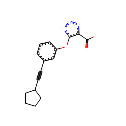 O=C(O)c1nn[nH]c1Oc1cccc(C#CC2CCCC2)c1